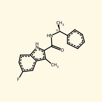 Cc1c(C(=O)N[C@@H](C)c2ccccc2)[nH]c2ccc(F)cc12